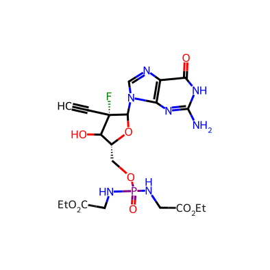 C#C[C@]1(F)C(O)[C@@H](COP(=O)(NCC(=O)OCC)NCC(=O)OCC)OC1n1cnc2c(=O)[nH]c(N)nc21